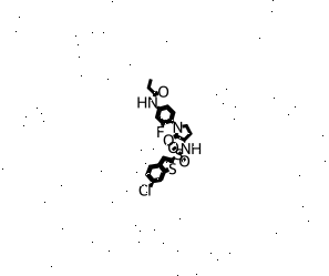 CCC(=O)Nc1ccc(N2CC[C@H](NS(=O)(=O)c3cc4ccc(Cl)cc4s3)C2=O)c(F)c1